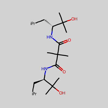 CC(C)C[C@@H](NC(=O)C(C)(C)C(=O)N[C@H](CC(C)C)C(C)(C)O)C(C)(C)O